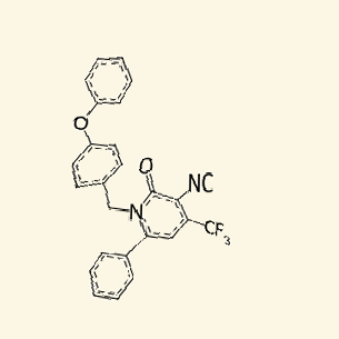 [C-]#[N+]c1c(C(F)(F)F)cc(-c2ccccc2)n(Cc2ccc(Oc3ccccc3)cc2)c1=O